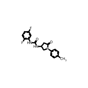 Cc1ccc(N2CC(NC(=O)Nc3cc(F)ccc3F)CC2=O)cc1